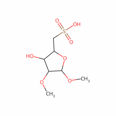 COC1OC(CS(=O)(=O)O)C(O)C1OC